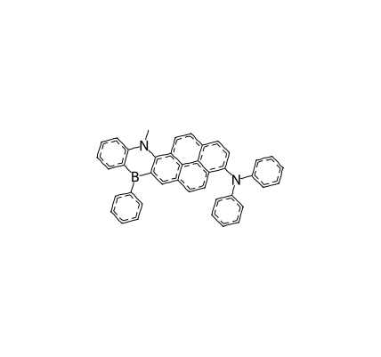 CN1c2ccccc2B(c2ccccc2)c2cc3ccc4c(N(c5ccccc5)c5ccccc5)ccc5ccc(c21)c3c54